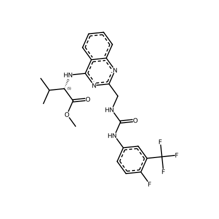 COC(=O)[C@@H](Nc1nc(CNC(=O)Nc2ccc(F)c(C(F)(F)F)c2)nc2ccccc12)C(C)C